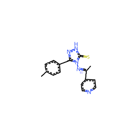 C/C(=N\n1c(-c2ccc(C)cc2)n[nH]c1=S)c1ccncc1